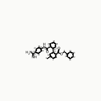 Cc1ccc(C(=O)OCc2ccccc2)c(-c2ccccc2C(=O)Nc2ccc(C(=N)N)cc2)c1